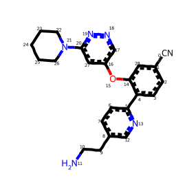 N#Cc1ccc(-c2ccc(CCN)cn2)c(Oc2cnnc(N3CCCCC3)c2)c1